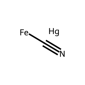 N#[C][Fe].[Hg]